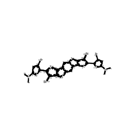 CN(C)c1cc(Br)c(-c2sc3c(sc4cc5c(cc43)sc3c(Br)c(-c4sc(N(C)C)cc4Br)sc35)c2Br)s1